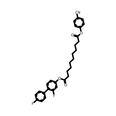 N#Cc1ccc(OC(=O)CCCCCCCCCC(=O)Oc2ccc(-c3ccc(F)cc3)c(F)c2)cc1